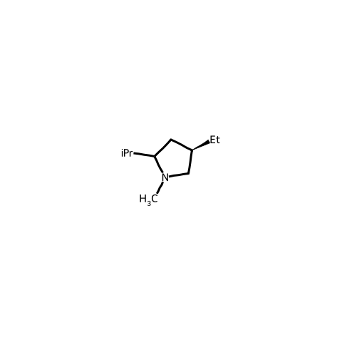 CC[C@@H]1CC(C(C)C)N(C)C1